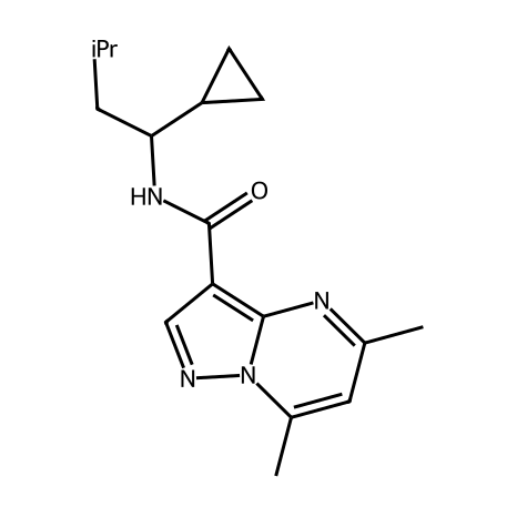 Cc1cc(C)n2ncc(C(=O)NC(CC(C)C)C3CC3)c2n1